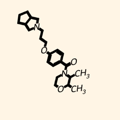 CC1OCCN(C(=O)c2ccc(OCCCN3CC4CCCC4C3)cc2)C1C